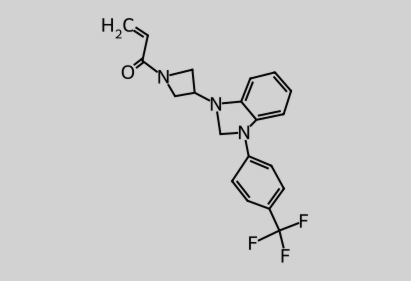 C=CC(=O)N1CC(N2CN(c3ccc(C(F)(F)F)cc3)c3ccccc32)C1